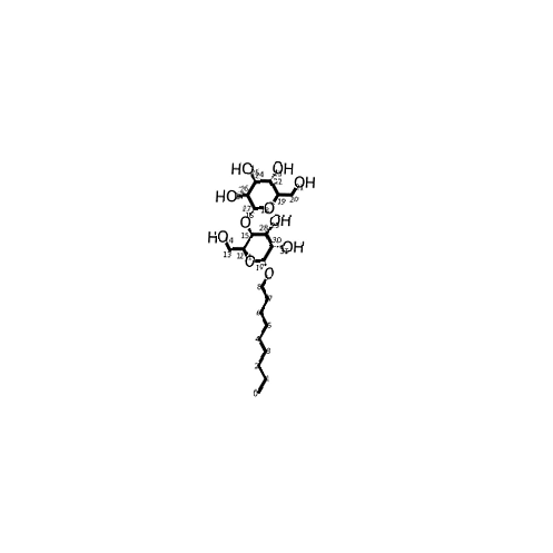 CCCCCCCCCO[C@@H]1OC(CO)[C@@H](O[C@H]2OC(CO)[C@@H](O)[C@H](O)C2O)C(O)[C@@H]1O